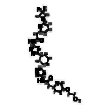 COCCOc1ccc(CC(=O)Nc2nnc([C@H]3CCC[C@H](c4nnc(NC(=O)Cc5cccc(N6CC(F)(F)C6)n5)s4)C3)s2)nc1